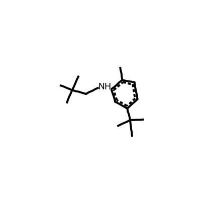 Cc1ccc(C(C)(C)C)cc1NCC(C)(C)C